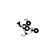 CC(=O)OC1C[C@H](NC(=O)c2ccccc2)C[C@]2(c3cccc(O)c3)CCN(CC3CC3)C[C@@H]12